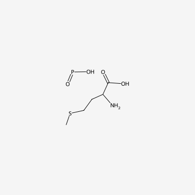 CSCCC(N)C(=O)O.O=PO